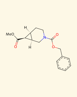 COC(=O)[C@@H]1[C@@H]2CN(C(=O)OCc3ccccc3)CC[C@@H]21